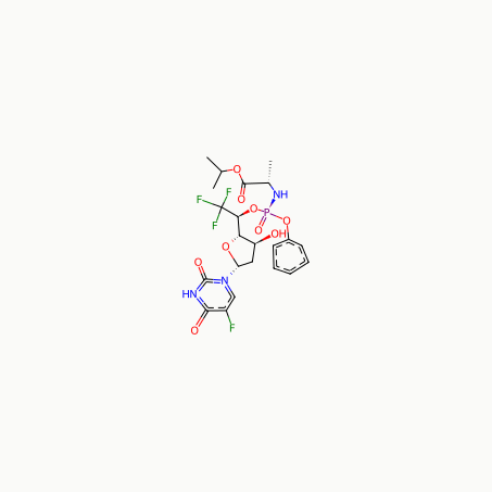 CC(C)OC(=O)[C@H](C)N[P@](=O)(Oc1ccccc1)O[C@@H]([C@H]1O[C@@H](n2cc(F)c(=O)[nH]c2=O)C[C@@H]1O)C(F)(F)F